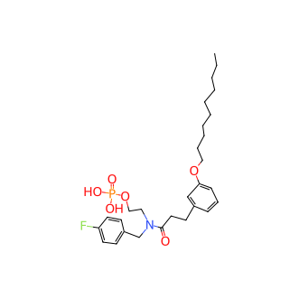 CCCCCCCCCCOc1cccc(CCC(=O)N(CCOP(=O)(O)O)Cc2ccc(F)cc2)c1